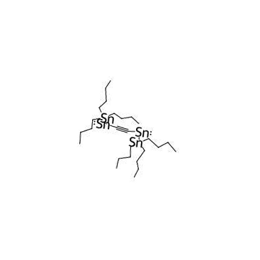 CCC[CH2][Sn]([CH2]CCC)([CH2]CCC)[Sn][C]#[C][Sn][Sn]([CH2]CCC)([CH2]CCC)[CH2]CCC